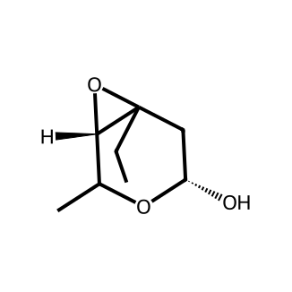 CCC12C[C@H](O)OC(C)[C@@H]1O2